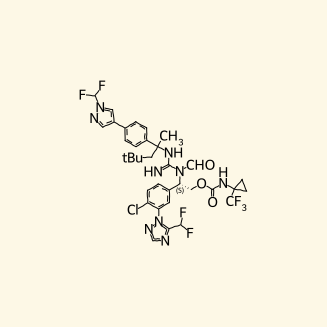 CC(C)(C)CC(C)(NC(=N)N(C=O)[C@H](COC(=O)NC1(C(F)(F)F)CC1)c1ccc(Cl)c(-n2ncnc2C(F)F)c1)c1ccc(-c2cnn(C(F)F)c2)cc1